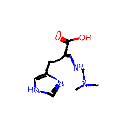 CN(C)C.NC(Cc1c[nH]cn1)C(=O)O